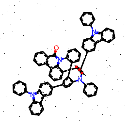 O=c1c2ccccc2c2cccc3c2n1-c1ccccc1C31c2cc(-c3ccc4c(c3)c3ccccc3n4-c3ccccc3)ccc2N(c2ccccc2)c2ccc(-c3ccc4c(c3)c3ccccc3n4-c3ccccc3)cc21